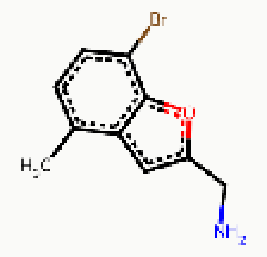 Cc1ccc(Br)c2oc(CN)cc12